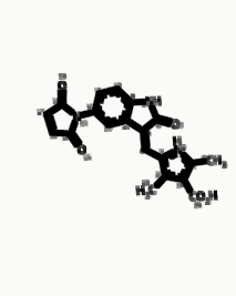 Cc1[nH]c(/C=C2\C(=O)Nc3ccc(N4C(=O)C=CC4=O)cc32)c(C)c1C(=O)O